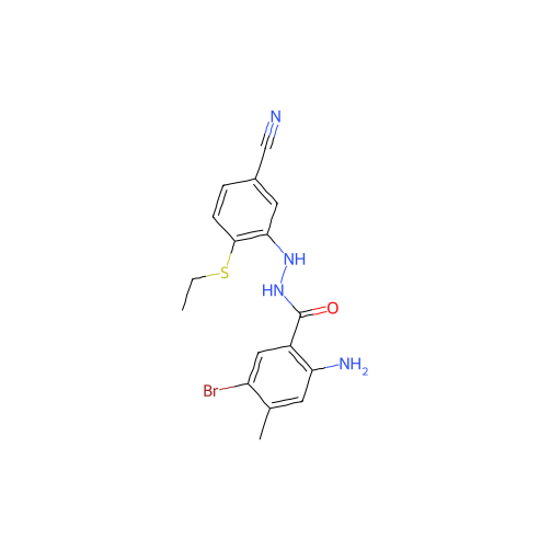 CCSc1ccc(C#N)cc1NNC(=O)c1cc(Br)c(C)cc1N